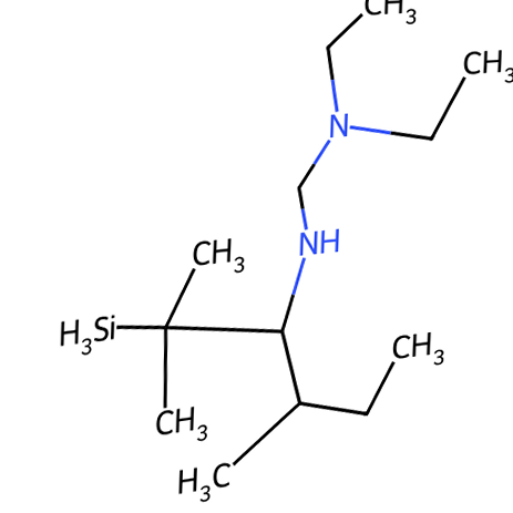 CCC(C)C(NCN(CC)CC)C(C)(C)[SiH3]